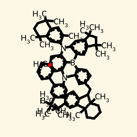 Cc1cc2c3c(c1)N(c1ccc(C(C)(C)C)cc1-c1ccccc1)c1cc(CC4c5ccc(C(C)(C)C)cc5C5(C)CCCCC45C)ccc1B3c1cc3c(cc1N2c1cc2c(cc1C)C(C)(C)CCC2(C)C)C(C)(C)CC3(C)C